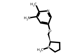 Cc1ncc(OC[C@H]2CCCN2C)cc1N